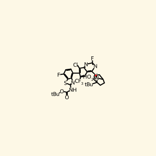 CC(C)(C)OC(=O)Nc1nc2c(-c3c(C(F)(F)F)cc4c(N5CC6CCC(C(C)(C)C)(C5)N6C(=O)O)nc(F)nc4c3Cl)ccc(F)c2s1